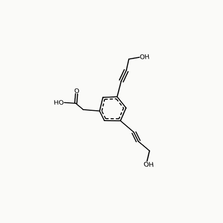 O=C(O)Cc1cc(C#CCO)cc(C#CCO)c1